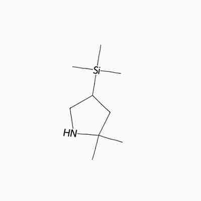 CC1(C)CC([Si](C)(C)C)CN1